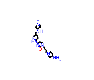 NC1CCN(CCCCn2ccc(Nc3ccc(CNC4CCNCC4)cn3)nc2=O)CC1